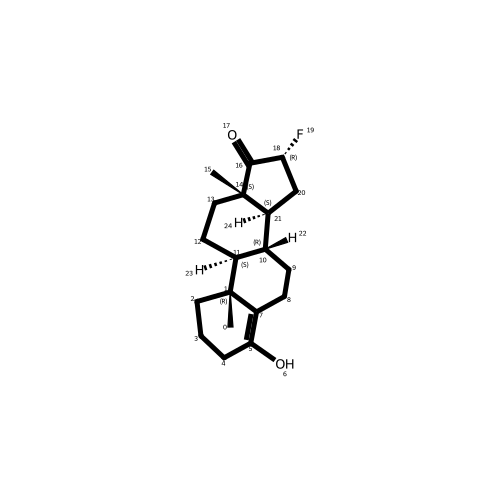 C[C@]12CCCC(O)=C1CC[C@@H]1[C@@H]2CC[C@]2(C)C(=O)[C@H](F)C[C@@H]12